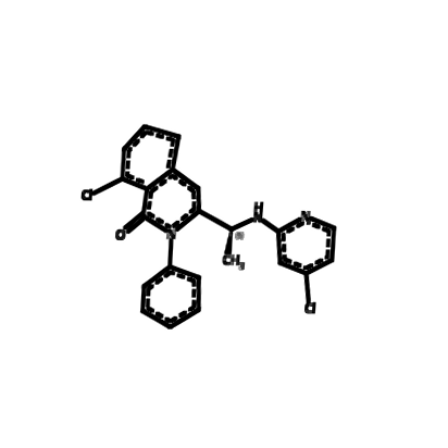 C[C@H](Nc1cc(Cl)ccn1)c1cc2cccc(Cl)c2c(=O)n1-c1ccccc1